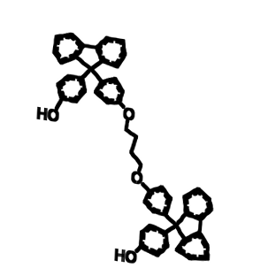 Oc1ccc(C2(c3ccc(OCCCCOc4ccc(C5(c6ccc(O)cc6)c6ccccc6-c6ccccc65)cc4)cc3)c3ccccc3-c3ccccc32)cc1